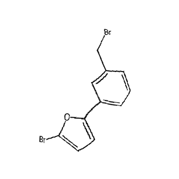 BrCc1cccc(-c2ccc(Br)o2)c1